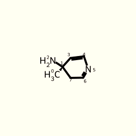 C[C@@]1(N)C=CN=CC1